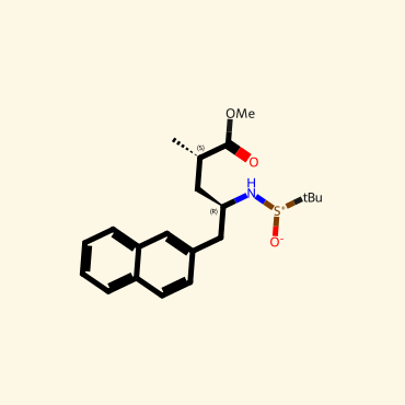 COC(=O)[C@@H](C)C[C@H](Cc1ccc2ccccc2c1)N[S+]([O-])C(C)(C)C